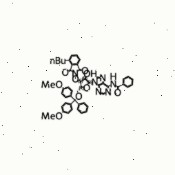 CCCCc1cccc2c1C(=O)N(O[C@H]1[C@@H](O)[C@H](n3cnc4c(NC(=O)c5ccccc5)ncnc43)O[C@@H]1COC(c1ccccc1)(c1ccc(OC)cc1)c1ccc(OC)cc1)C2=O